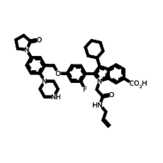 C=CCNC(=O)Cn1c(-c2ccc(OCc3cc(N4CCCC4=O)ccc3N3CCNCC3)cc2F)c(C2CCCCC2)c2ccc(C(=O)O)cc21